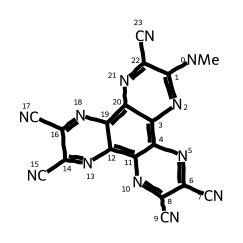 CNc1nc2c3nc(C#N)c(C#N)nc3c3nc(C#N)c(C#N)nc3c2nc1C#N